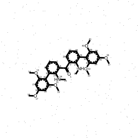 CNc1c(C(=O)c2cccc(-c3c(OC)cc(OC)cc3OC)c2NC)cccc1-c1c(OC)cc(OC)cc1OC